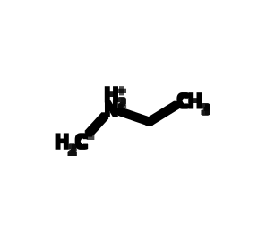 [CH2-][NH2+]CC